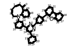 C=C1/C=C\C=C/CN(c2cccc(-c3cc(-c4ccccc4)nc(-c4ccc(-c5cccc6c5oc5ccccc56)cc4)n3)c2)c2ccccc21